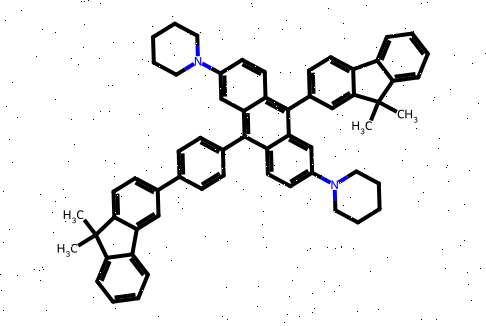 CC1(C)c2ccccc2-c2cc(-c3ccc(-c4c5ccc(N6CCCCC6)cc5c(-c5ccc6c(c5)C(C)(C)c5ccccc5-6)c5ccc(N6CCCCC6)cc45)cc3)ccc21